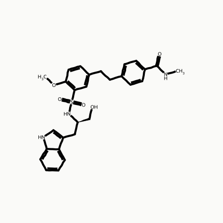 CNC(=O)c1ccc(CCc2ccc(OC)c(S(=O)(=O)N[C@@H](CO)Cc3c[nH]c4ccccc34)c2)cc1